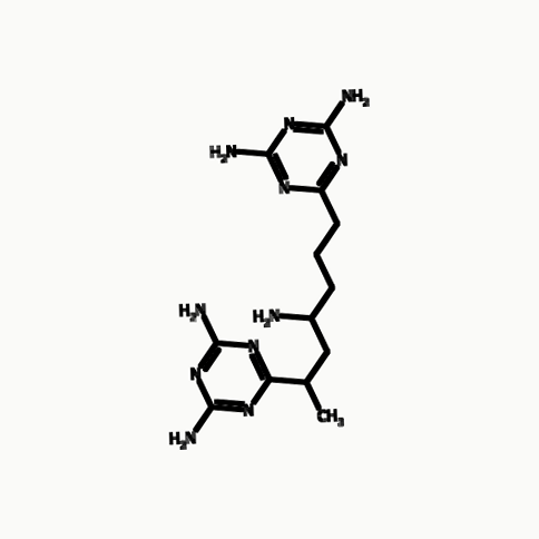 CC(CC(N)CCCc1nc(N)nc(N)n1)c1nc(N)nc(N)n1